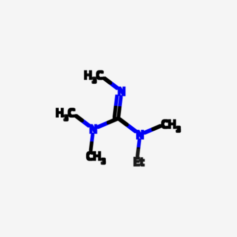 [CH2]CN(C)C(=NC)N(C)C